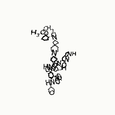 CC(C)Oc1ccccc1[C@@H]1CCCN1C1CC2(CCN(c3ccc(C(=O)NS(=O)(=O)c4ccc(NCC5CCOCC5)c([N+](=O)[O-])c4)c(N4c5cc6cc[nH]c6nc5O[C@H]5CCOC[C@@H]54)c3)CC2)C1